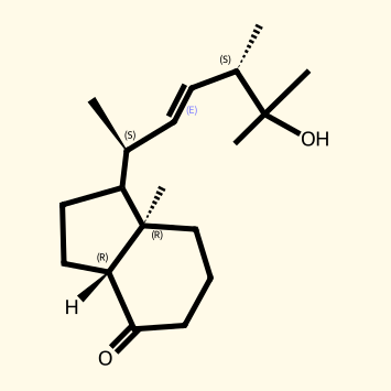 C[C@@H](/C=C/[C@H](C)C(C)(C)O)C1CC[C@H]2C(=O)CCC[C@]12C